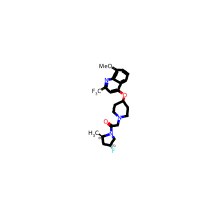 COc1cccc2c(OC3CCN(CC(=O)N4C[C@@H](F)C[C@H]4C)CC3)cc(C(F)(F)F)nc12